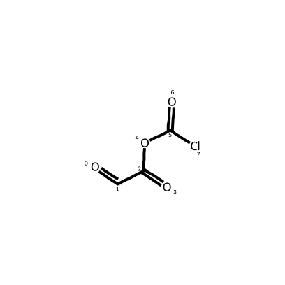 O=[C]C(=O)OC(=O)Cl